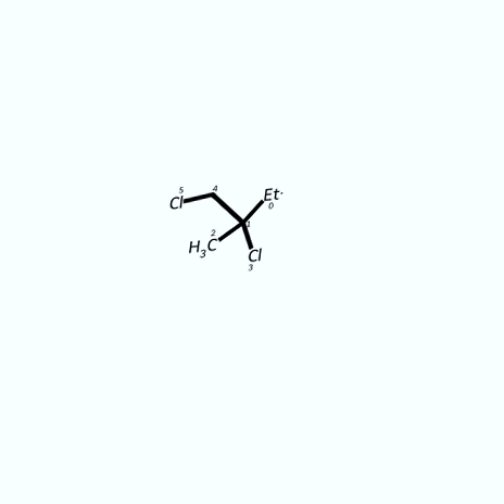 C[CH]C(C)(Cl)CCl